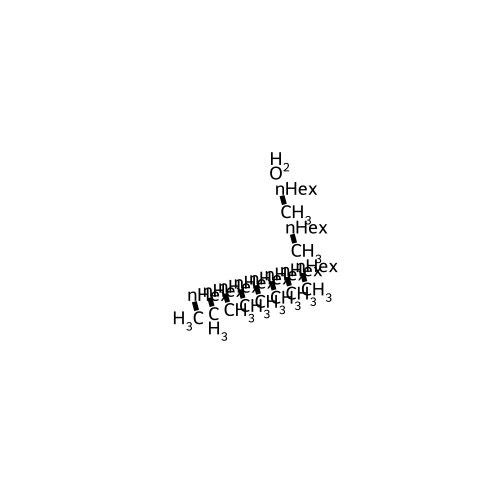 CCCCCCC.CCCCCCC.CCCCCCC.CCCCCCC.CCCCCCC.CCCCCCC.CCCCCCC.CCCCCCC.CCCCCCC.CCCCCCC.O